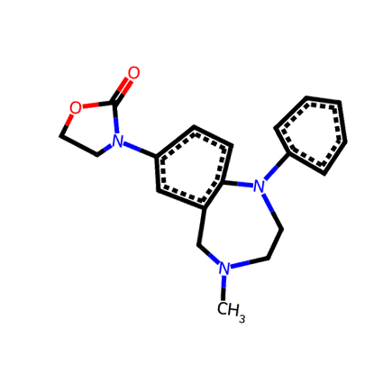 CN1CCN(c2ccccc2)c2ccc(N3CCOC3=O)cc2C1